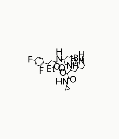 CC[C@@H](CC(=O)N[C@@H](CC(C)(C)C)C(=O)NC(C[C@@H]1CCNC1=O)C(=O)C(=O)NC1CC1)c1ccc(F)cc1F